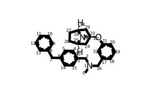 CN(Cc1ccc(Cc2ccccc2)cc1)Cc1cccc(O[C@H]2C[C@H]3CC[C@@H](C2)N3C)c1